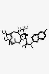 C=C1C(=O)OC2CC3=C[C@@H](C/C(C)=C/[C@@H](OC(=O)[C@H](C)c4ccc5cc(C)ccc5c4)[C@H]12)OC3=O